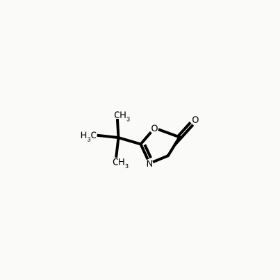 CC(C)(C)C1=NCC(=O)O1